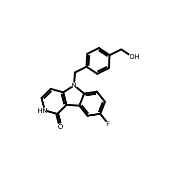 O=c1[nH]ccc2c1c1cc(F)ccc1n2Cc1ccc(CO)cc1